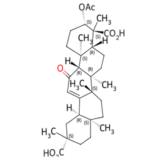 CC(=O)O[C@H]1CC[C@@]2(C)[C@@H](CC[C@]3(C)[C@@H]2C(=O)C=C2[C@@H]4C[C@@](C)(C(=O)O)CC[C@]4(C)CC[C@]23C)[C@]1(C)C(=O)O